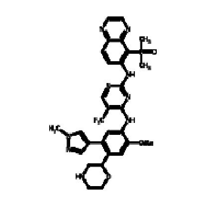 COc1cc(C2CNCCO2)c(-c2cnn(C)c2)cc1Nc1nc(Nc2ccc3nccnc3c2P(C)(C)=O)ncc1C(F)(F)F